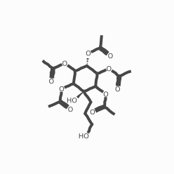 CC(=O)OC1C(OC(C)=O)[C@](O)(CCCO)C(OC(C)=O)C(OC(C)=O)[C@@H]1OC(C)=O